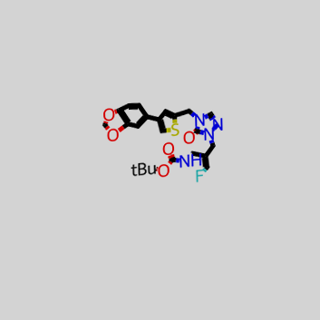 CC(C)(C)OC(=O)NC/C(=C\F)Cn1ncn(Cc2cc(-c3ccc4c(c3)OCO4)cs2)c1=O